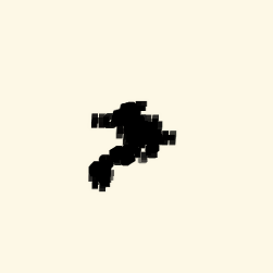 C#Cc1c(F)ccc2cc(O)cc(-c3nc4c5c(nc(OC[C@@]67CCCN6[C@H](COc6ccnc(C(F)(F)F)n6)CC7)nc5c3F)N3C[C@@H](CC)NC[C@H]3CC4)c12